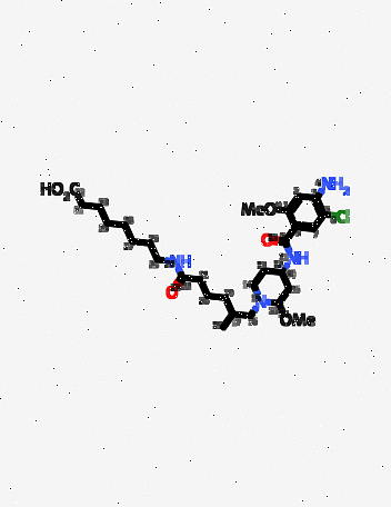 COc1cc(N)c(Cl)cc1C(=O)N[C@@H]1CCN(CC(C)CCCC(=O)NCCCCCCCC(=O)O)C(OC)C1